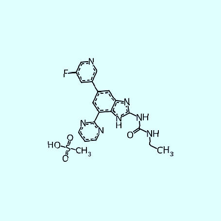 CCNC(=O)Nc1nc2cc(-c3cncc(F)c3)cc(-c3ncccn3)c2[nH]1.CS(=O)(=O)O